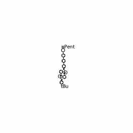 CCCCCC1CCC(c2ccc(-c3ccc(-c4ccc(Sc5cccc6c5C(=O)c5cccc(Sc7ccc(C(C)(C)C)cc7)c5C6=O)cc4)cc3)cc2)CC1